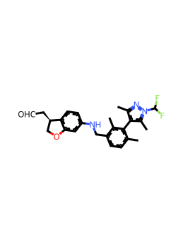 Cc1ccc(CNc2ccc3c(c2)OC[C@H]3CC=O)c(C)c1-c1c(C)nn(C(F)F)c1C